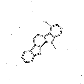 Cn1c2cccc(C(C)(C)C)c2c2ccc3c4ccccc4sc3c21